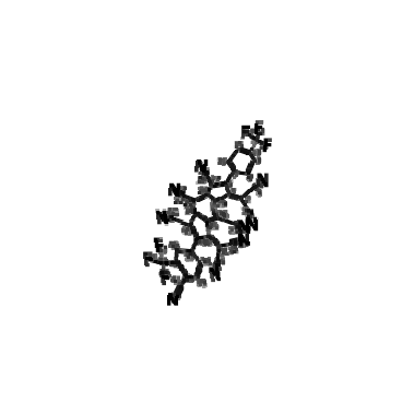 N#CC(C#N)=C1C(c2ccc(C(F)(F)F)cc2)=C(C#N)c2c(C#N)c3c(c(C#N)c21)C(=C(C#N)C#N)C(c1ccc(C#N)c(C(F)(F)F)c1)=C3C#N